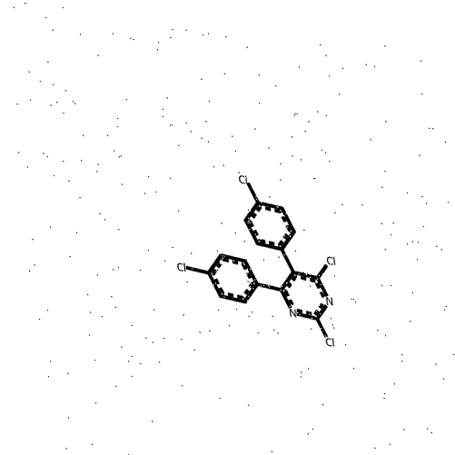 Clc1ccc(-c2nc(Cl)nc(Cl)c2-c2ccc(Cl)cc2)cc1